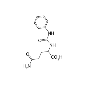 NC(=O)CCC(NC(=O)Nc1ccccc1)C(=O)O